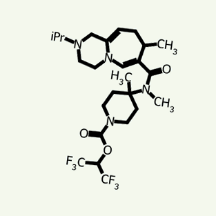 CC1CC=C2CN(C(C)C)CCN2C=C1C(=O)N(C)C1(C)CCN(C(=O)OC(C(F)(F)F)C(F)(F)F)CC1